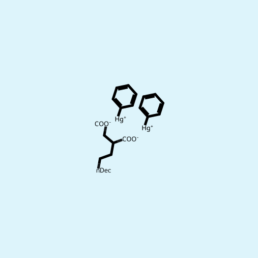 CCCCCCCCCCCCC(CC(=O)[O-])C(=O)[O-].[Hg+][c]1ccccc1.[Hg+][c]1ccccc1